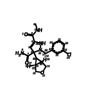 CNC(=O)C1=CC(C(N)=O)(C2[C@H]3COC[C@@H]23)N([C@@H](C)c2cccc(Cl)c2)N1